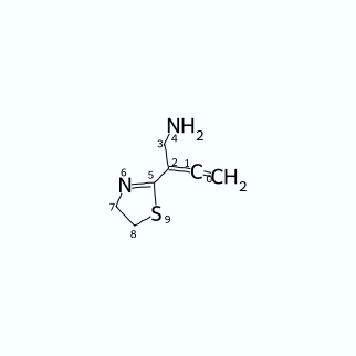 C=C=C(CN)C1=NCCS1